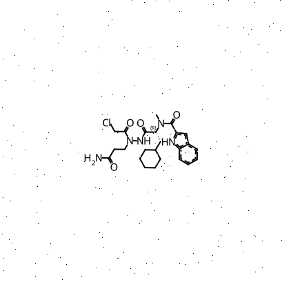 CN(C(=O)c1cc2ccccc2[nH]1)[C@H](CC1CCCCC1)C(=O)NN(CCC(N)=O)C(=O)CCl